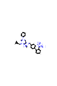 CCc1nc2c(n1Cc1ccc(-c3ccccc3-c3nnn[nH]3)cc1)CN(c1ccccc1)CN2CC1CC1